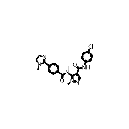 CN1CCN=C1c1ccc(C(=O)Nc2c(C(=O)Nc3ccc(Cl)cc3)cnn2C)cc1